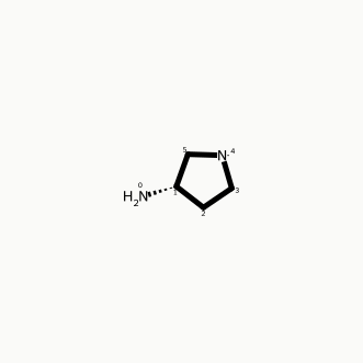 N[C@H]1CC[N]C1